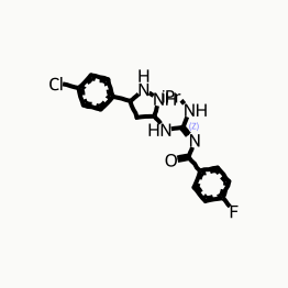 CC(C)N/C(=N/C(=O)c1ccc(F)cc1)NC1CC(c2ccc(Cl)cc2)NN1